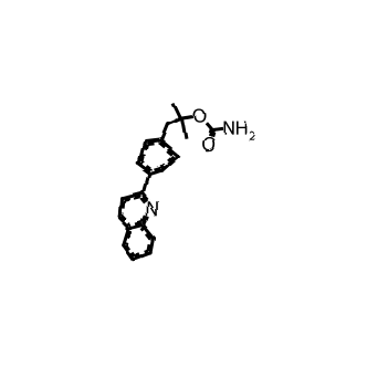 CC(C)(Cc1ccc(-c2ccc3ccccc3n2)cc1)OC(N)=O